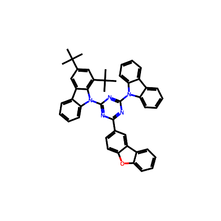 CC(C)(C)c1cc(C(C)(C)C)c2c(c1)c1ccccc1n2-c1nc(-c2ccc3oc4ccccc4c3c2)nc(-n2c3ccccc3c3ccccc32)n1